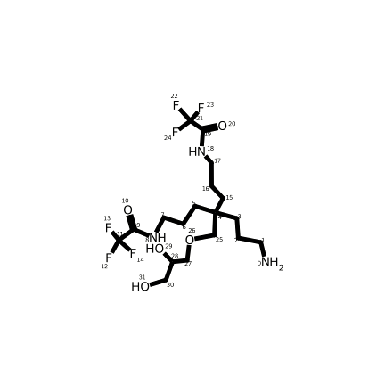 NCCCC(CCCNC(=O)C(F)(F)F)(CCCNC(=O)C(F)(F)F)COCC(O)CO